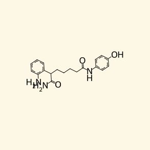 NC(=O)C(CCCCC(=O)Nc1ccc(O)cc1)c1ccccc1N